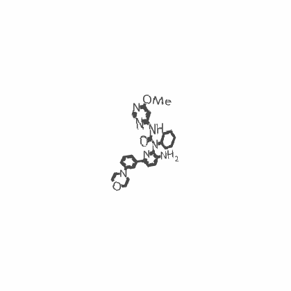 COc1cc(NC(=O)N(c2nc(-c3cccc(N4CCOCC4)c3)ccc2N)C2CCCCC2)ncn1